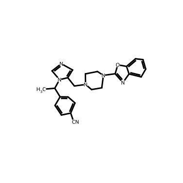 CC(c1ccc(C#N)cc1)n1cncc1CN1CCN(c2nc3ccccc3o2)CC1